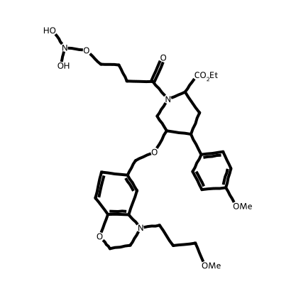 CCOC(=O)C1CC(c2ccc(OC)cc2)C(OCc2ccc3c(c2)N(CCCOC)CCO3)CN1C(=O)CCCON(O)O